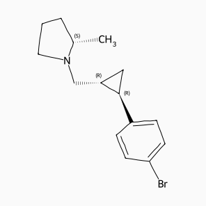 C[C@H]1CCCN1C[C@@H]1C[C@H]1c1ccc(Br)cc1